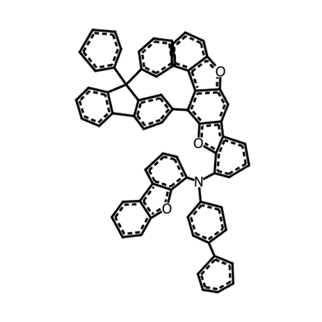 c1ccc(-c2ccc(N(c3cccc4c3oc3ccccc34)c3cccc4c3oc3c(-c5ccc6c(c5)C(c5ccccc5)(c5ccccc5)c5ccccc5-6)c5c(cc34)oc3ccccc35)cc2)cc1